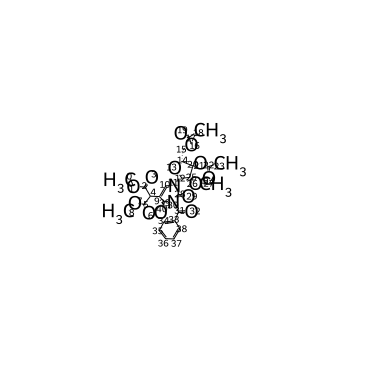 COC(=O)C(C(=O)OC)c1cn([C@@H]2O[C@H](COC(C)=O)C(OC(C)=O)[C@@H]2OC)c(=O)n(C(=O)c2ccccc2)c1=O